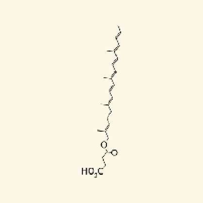 C/C=C/C=C(C)/C=C/C=C(C)/C=C/C=C(\C)CC/C=C(\C)COC(=O)CCC(=O)O